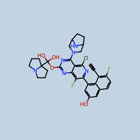 C#Cc1c(F)ccc2cc(O)cc(-c3nc(Cl)c4c(N5CC6CCC(C5)N6)nc(OC(O)(O)C56CCCN5CCC6)nc4c3F)c12